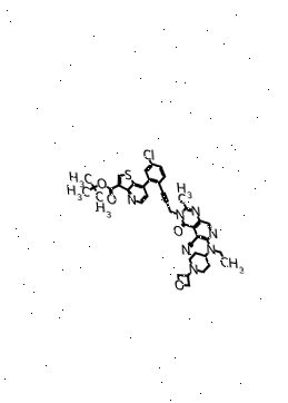 CCN(c1ncc2nc(C)n(CC#Cc3ccc(Cl)cc3-c3ccnc4c(C(=O)OC(C)(C)C)csc34)c(=O)c2c1C#N)C1CCN(C2COC2)CC1